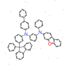 c1ccc(-c2ccc(N(c3cccc(N(c4ccccc4)c4ccc5c(c4)oc4ccccc45)c3)c3cccc(C4(c5ccccc5)c5ccccc5-c5ccccc54)c3)cc2)cc1